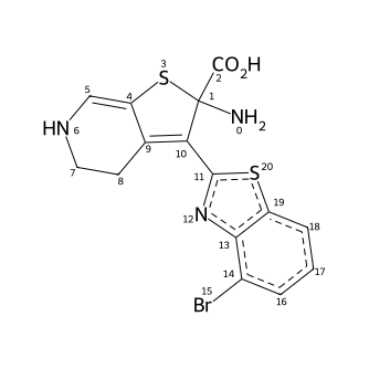 NC1(C(=O)O)SC2=CNCCC2=C1c1nc2c(Br)cccc2s1